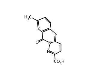 Cc1ccc2nc3ccc(C(=O)O)nn3c(=O)c2c1